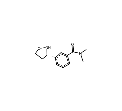 CN(C)C(=O)c1cccc([C@@H]2CCON2)c1